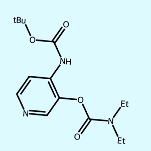 CCN(CC)C(=O)Oc1cnccc1NC(=O)OC(C)(C)C